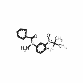 CC(C)(C)[S+]([O-])c1cccc(N(N)C(=O)c2ccccc2)c1